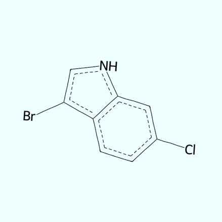 Clc1ccc2c(Br)c[nH]c2c1